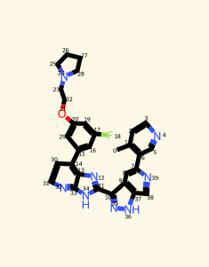 Cc1ccncc1-c1cc2c(-c3nc4c(-c5cc(F)cc(OCCN6CCCC6)c5)ccnc4[nH]3)n[nH]c2cn1